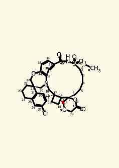 CC[C@@H]1CCCC[C@@]2(COCC(=O)O2)[C@@H]2CC[C@H]2CN2C[C@@]3(CCCc4cc(Cl)ccc43)COc3ccc(cc32)C(=O)NS1(=O)=O